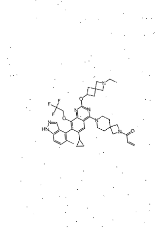 C=CC(=O)N1CC2(CCN(c3nc(OC4CC5(C4)CN(CC)C5)nc4c(OCC(F)(F)F)c(-c5c(C)ccc6[nH]ncc56)c(C5CC5)cc34)CC2)C1